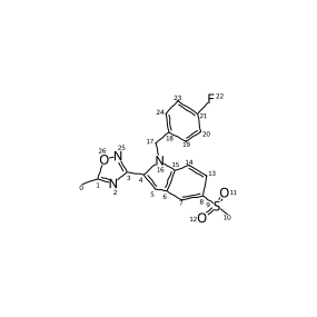 Cc1nc(-c2cc3cc(S(C)(=O)=O)ccc3n2Cc2ccc(F)cc2)no1